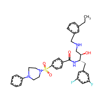 CCc1cccc(CNC[C@@H](O)[C@H](Cc2cc(F)cc(F)c2)NC(=O)c2ccc(S(=O)(=O)N3CCN(c4ccccc4)CC3)cc2)c1